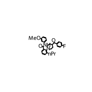 CCCc1cccc(C(=O)Nc2cccc(OC)c2)c1N1CCC(C(=O)c2ccc(F)cc2)CC1